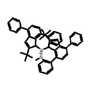 C[SiH](C)[Zr]([CH]1C(C(C)(C)C)=Cc2c(-c3ccccc3)ccc(-c3ccccc3)c21)[CH]1C(C(C)(C)C)=Cc2c(-c3ccccc3)ccc(-c3ccccc3)c21